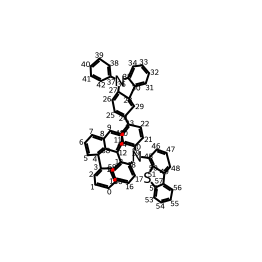 c1ccc(-c2cccc3cccc(-c4ccccc4N(c4ccc(-c5ccc6c(c5)c5ccccc5n6-c5ccccc5)cc4)c4cccc5c4sc4ccccc45)c23)cc1